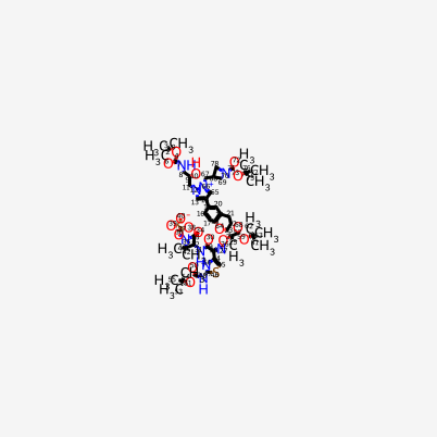 CC(C)(C)OC(=O)NCC(O)Cn1cc(-c2ccc3c(c2)CC[C@H](C(C)(O/N=C(\C(=O)NC2C(=O)N(OS(=O)(=O)[O-])C2(C)C)c2csc(NC(=O)OC(C)(C)C)n2)C(=O)OC(C)(C)C)O3)c[n+]1CC1CN(C(=O)OC(C)(C)C)C1